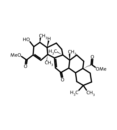 COC(=O)C1=C[C@]2(C)C3=CC(=O)C4C5CC(C)(C)CC[C@]5(C(=O)OC)CC[C@@]4(C)[C@]3(C)CC[C@H]2[C@H](C)C1O